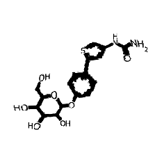 NC(=O)Nc1csc(-c2ccc(OC3OC(CO)C(O)C(O)C3O)cc2)c1